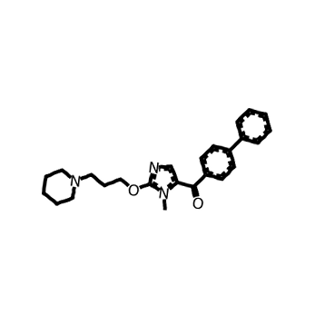 Cn1c(C(=O)c2ccc(-c3ccccc3)cc2)cnc1OCCCN1CCCCC1